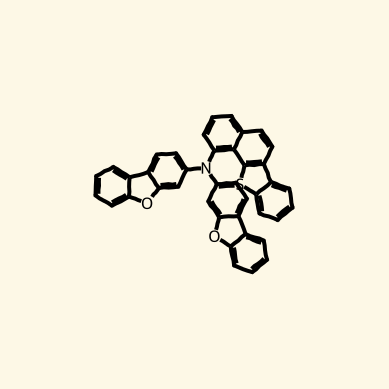 c1cc(N(c2ccc3c(c2)oc2ccccc23)c2ccc3c(c2)oc2ccccc23)c2c(c1)ccc1c3ccccc3sc12